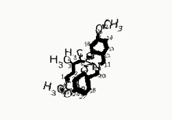 C=CC[C@@H](C)[C@@H](C)S(=O)(=O)N(Cc1ccc(OC)cc1)Cc1ccc(OC)cc1